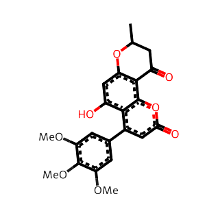 COc1cc(-c2cc(=O)oc3c4c(cc(O)c23)OC(C)CC4=O)cc(OC)c1OC